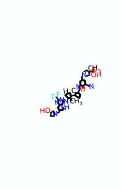 Cc1c(Nc2nc(C(F)F)nc3cc(CN4CCC(O)C4)cnc23)cccc1-c1cccc(-c2nc3cc(CN4CCC(C)(C(=O)O)CC4)cc(C#N)c3o2)c1C